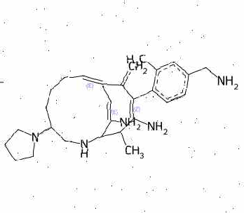 C=C1/C(c2ccc(CN)cc2C)=C(/N)C(C)C2NCC(N3CCCC3)CCC/C=C1\C=C/2N